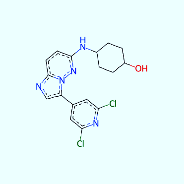 OC1CCC(Nc2ccc3ncc(-c4cc(Cl)nc(Cl)c4)n3n2)CC1